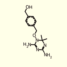 CC1(C)N=C(N)N=C(N)N1OCc1ccc(CO)cc1